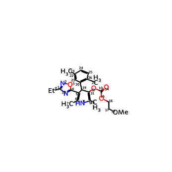 CCc1noc(C2=C(C)NC(C)=C(OC(=O)OCCOC)C2c2cc(C)ccc2C)n1